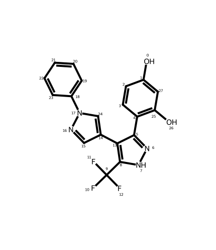 Oc1ccc(-c2n[nH]c(C(F)(F)F)c2-c2cnn(-c3ccccc3)c2)c(O)c1